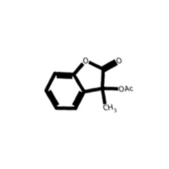 CC(=O)OC1(C)C(=O)Oc2ccccc21